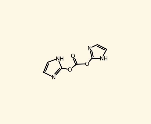 O=C(Oc1ncc[nH]1)Oc1ncc[nH]1